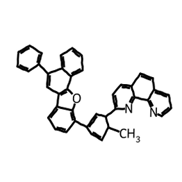 CC1C=CC(c2cccc3c2oc2c4ccccc4c(-c4ccccc4)cc32)=CC1c1ccc2ccc3cccnc3c2n1